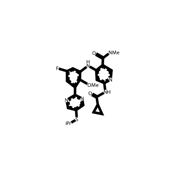 CNC(=O)c1cnc(NC(=O)C2CC2)cc1Nc1cc(F)cc(-c2ncc(SC(C)C)cn2)c1OC